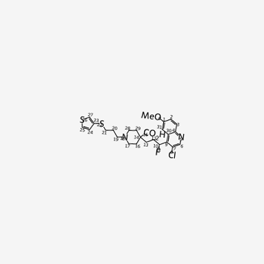 COc1ccc2ncc(Cl)c([C@@H](F)CCC3(C(=O)O)CCN(CCCSc4ccsc4)CC3)c2c1